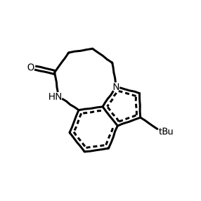 CC(C)(C)c1cn2c3c(cccc13)NC(=O)CCC2